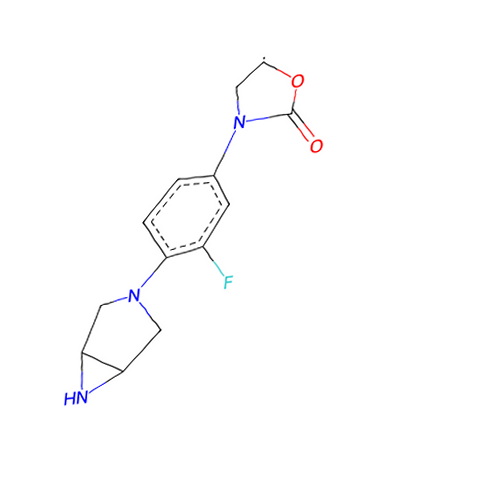 O=C1O[CH]CN1c1ccc(N2CC3NC3C2)c(F)c1